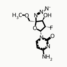 COC[C@@]1(N=[N+]=[N-])O[C@@H](n2ccc(N)nc2=O)[C@@H](F)[C@@H]1O